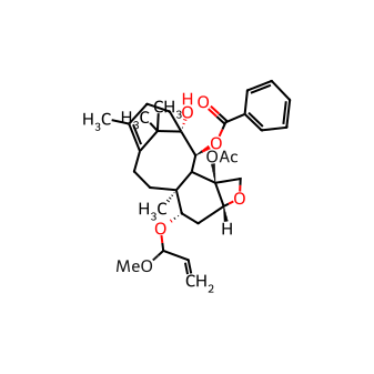 C=CC(OC)O[C@H]1C[C@H]2OC[C@@]2(OC(C)=O)C2[C@H](OC(=O)c3ccccc3)[C@]3(O)CCC(C)=C(CC[C@@]21C)C3(C)C